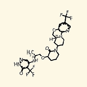 C[C@@H](COC1CCCN(C2CCN3c4ncc(C(F)(F)F)cc4OC[C@H]3C2)C1=O)Nc1cn[nH]c(=O)c1C(F)(F)F